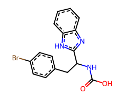 O=C(O)NC(Cc1ccc(Br)cc1)c1nc2ccccc2[nH]1